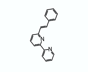 C(=Cc1cccc(-c2ccccn2)n1)c1ccccc1